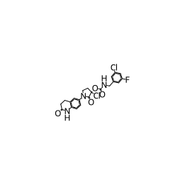 O=C1CCc2cc(N3CCC(Cl)(OC(=O)NCc4cc(F)cc(Cl)c4)C3=O)ccc2N1